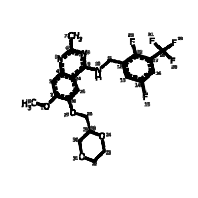 COc1cc2nc(C)nc(NCc3cc(F)cc(C(F)(F)F)c3F)c2cc1OC[C@@H]1COCCO1